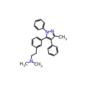 Cc1nn(-c2ccccc2)c(-c2cccc(CCN(C)C)c2)c1-c1ccccc1